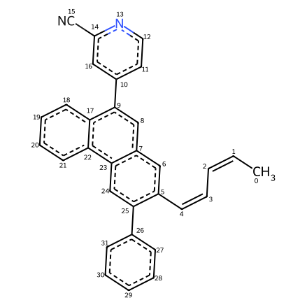 C/C=C\C=C/c1cc2cc(-c3ccnc(C#N)c3)c3ccccc3c2cc1-c1ccccc1